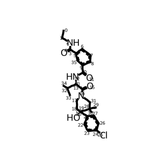 CCNC(=O)c1cccc(C(=O)N[C@@H](C(=O)N2CC[C@](O)(c3ccc(Cl)cc3)C(C)(C)C2)C(C)C)c1